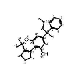 CCCC(C)(c1ccccc1)c1cc(O)c2c(c1)OC(C)(C)C1=C2CCC1